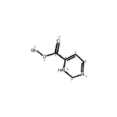 CC(C)(C)OC(=O)C1=CC=NCN1